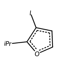 CC(C)c1occc1I